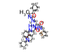 C[C@@H]1N=C(N2CCN(C(=O)C(CC3CCN(C4CCCCC4)CC3)NC3CCCCC3)[C@H](C(=O)NCc3cccs3)C2)O[C@H]1c1ccccc1